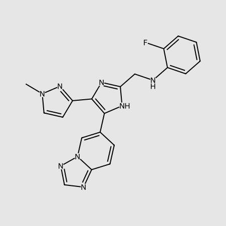 Cn1ccc(-c2nc(CNc3ccccc3F)[nH]c2-c2ccc3ncnn3c2)n1